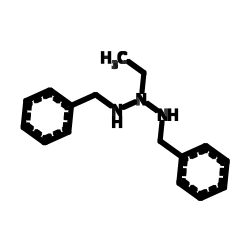 CCN(NCc1ccccc1)NCc1ccccc1